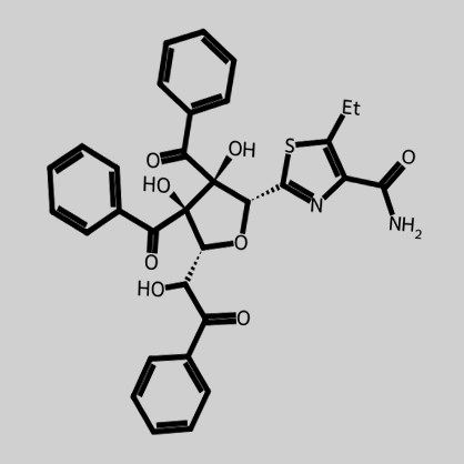 CCc1sc([C@@H]2O[C@H](C(O)C(=O)c3ccccc3)[C@](O)(C(=O)c3ccccc3)[C@]2(O)C(=O)c2ccccc2)nc1C(N)=O